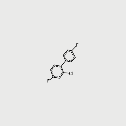 Fc1ccc(-c2ccc(F)cc2Cl)cc1